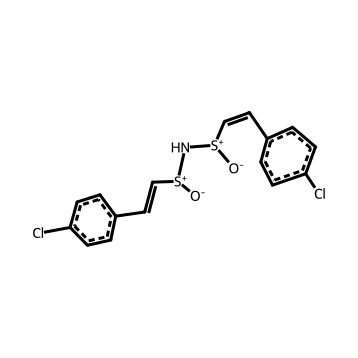 [O-][S+](/C=C\c1ccc(Cl)cc1)N[S+]([O-])/C=C/c1ccc(Cl)cc1